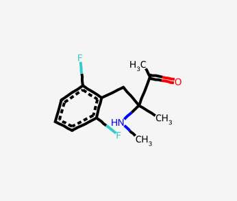 CNC(C)(Cc1c(F)cccc1F)C(C)=O